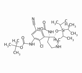 CC(C)[Si](O[C@@H]1CNCC[C@@]1(NC(=O)O)c1cc(C#N)cc(NC(=O)OC(C)(C)C)c1Cl)(C(C)C)C(C)C